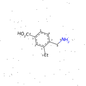 CCc1cc(C(=O)O)ccc1CN